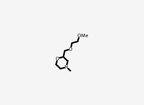 COCCOCC1CN(C)CCO1